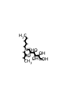 CCCCCN(CCCC)C[C@H](O)[C@@H](O)[C@H](O)[C@H](O)CO